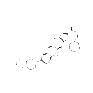 C=N/C(=N\c1c(C)cc2n1C1(CCCCC1)CNC2=O)Nc1ccc(N2CCN(C[C@H](C)O)CC2)cn1